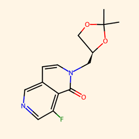 CC1(C)OC[C@H](Cn2ccc3cncc(F)c3c2=O)O1